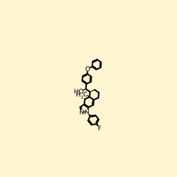 C[C@]12Cc3cnn(-c4ccc(F)cc4)c3C=C1CCC[C@@H]2[C@@H](O)c1ccc(Oc2ccccc2)cc1